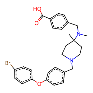 CN(Cc1ccc(C(=O)O)cc1)C1(C)CCN(Cc2ccc(Oc3ccc(Br)cc3)cc2)CC1